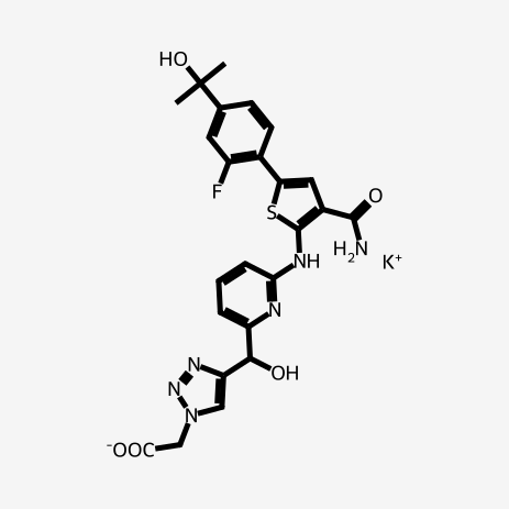 CC(C)(O)c1ccc(-c2cc(C(N)=O)c(Nc3cccc(C(O)c4cn(CC(=O)[O-])nn4)n3)s2)c(F)c1.[K+]